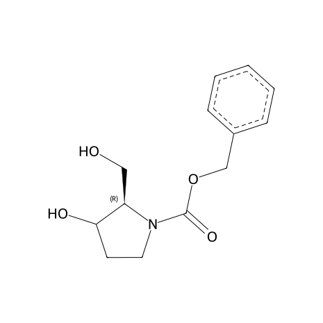 O=C(OCc1ccccc1)N1CCC(O)[C@H]1CO